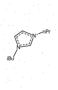 CCC[n+]1ccn(C(C)CC)c1